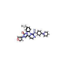 Cc1cccc(-n2c(-c3ccnc(N[C@H]4CC[C@H](N5CCCCC5)CC4)n3)cn(C3CCOCC3)c2=O)c1